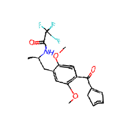 COc1cc(C(=O)C2=CC=CC2)c(OC)cc1C[C@@H](C)NC(=O)C(F)(F)F